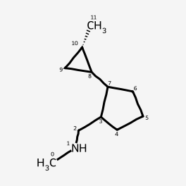 CNCC1CCCC1C1C[C@@H]1C